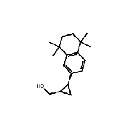 CC1(C)CCC(C)(C)c2cc([C@H]3C[C@H]3CO)ccc21